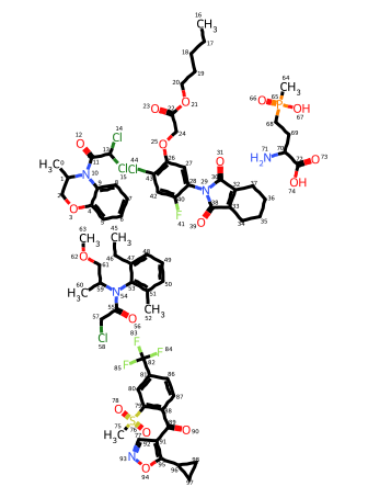 CC1COc2ccccc2N1C(=O)C(Cl)Cl.CCCCCOC(=O)COc1cc(N2C(=O)C3=C(CCCC3)C2=O)c(F)cc1Cl.CCc1cccc(C)c1N(C(=O)CCl)C(C)COC.CP(=O)(O)CCC(N)C(=O)O.CS(=O)(=O)c1cc(C(F)(F)F)ccc1C(=O)c1cnoc1C1CC1